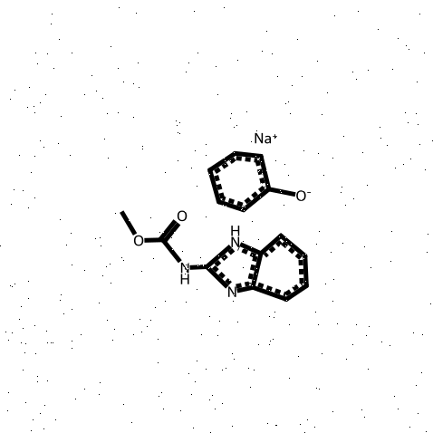 COC(=O)Nc1nc2ccccc2[nH]1.[Na+].[O-]c1ccccc1